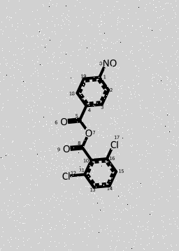 O=Nc1ccc(C(=O)OC(=O)c2c(Cl)cccc2Cl)cc1